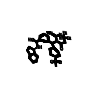 CCC1(CC)CC(=O)N(C(c2ccc(S(C)(=O)=O)cc2)c2cccc(C(O)N[C@H]3CCc4ccccc43)c2)C(=N)N1